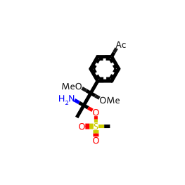 COC(OC)(c1ccc(C(C)=O)cc1)C(C)(N)OS(C)(=O)=O